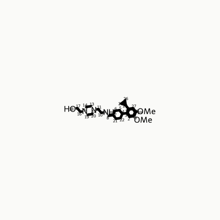 COc1cc(C2CCC(=CNCCN3CCN(CCO)CC3)CC2)c(C2CC2)cc1OC